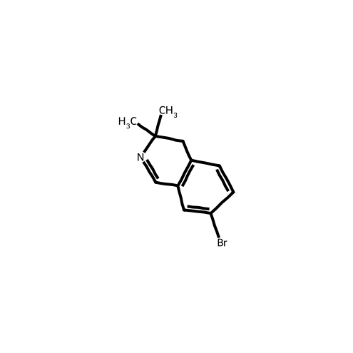 CC1(C)Cc2ccc(Br)cc2C=N1